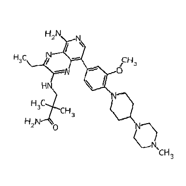 CCc1nc2c(N)ncc(-c3ccc(N4CCC(N5CCN(C)CC5)CC4)c(OC)c3)c2nc1NCC(C)(C)C(N)=O